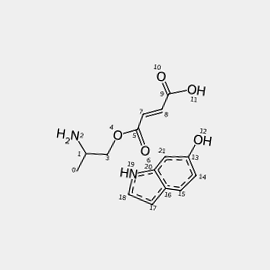 CC(N)COC(=O)/C=C/C(=O)O.Oc1ccc2cc[nH]c2c1